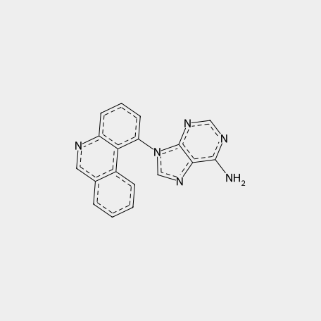 Nc1ncnc2c1ncn2-c1cccc2ncc3ccccc3c12